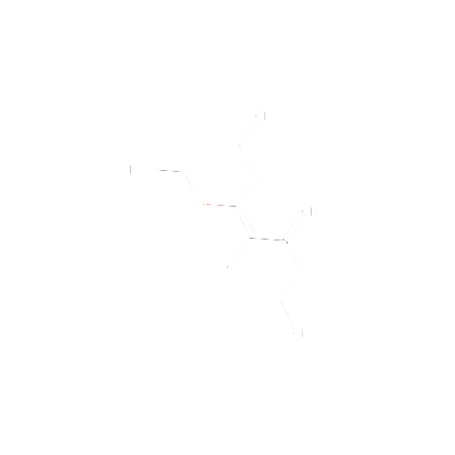 C=C(OCC)C(C)=C(OCC)OCC